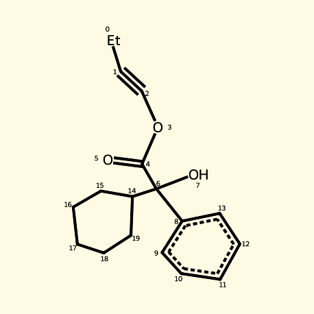 CCC#COC(=O)C(O)(c1ccccc1)C1CCCCC1